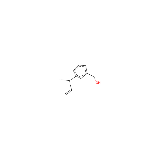 [CH2]C(C=C)c1cccc(CO)c1